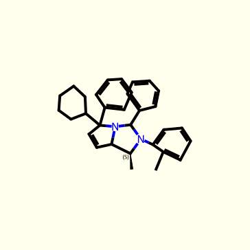 Cc1ccccc1N1C(c2ccccc2)N2C(C=CC2(c2ccccc2)C2CCCCC2)[C@@H]1C